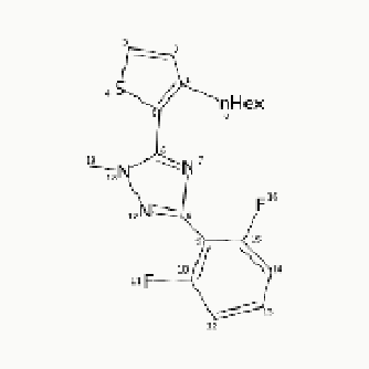 CCCCCCc1ccsc1-c1nc(-c2c(F)cccc2F)nn1C